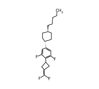 CCCCC[C@H]1CC[C@H](c2cc(F)c(C3CC(=C(F)F)C3)c(F)c2)CC1